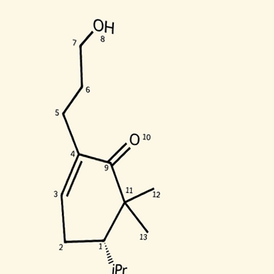 CC(C)[C@@H]1CC=C(CCCO)C(=O)C1(C)C